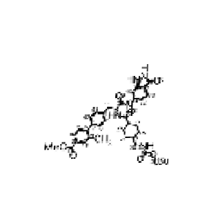 COC(=O)c1ccc(-c2ccc(C[C@H](NC(=O)C3CCC(CNC(=O)OC(C)(C)C)CC3)C(=O)Nc3ccc4c(=O)[nH][nH]c4c3)cc2)c(C)c1